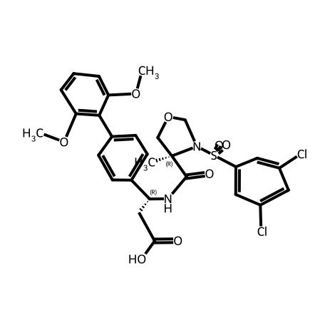 COc1cccc(OC)c1-c1ccc([C@@H](CC(=O)O)NC(=O)[C@@]2(C)COCN2S(=O)(=O)c2cc(Cl)cc(Cl)c2)cc1